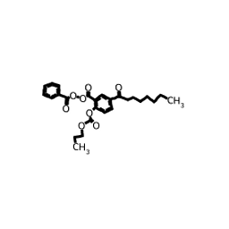 CCCCCCCC(=O)c1ccc(OC(=O)OCCC)c(C(=O)OOC(=O)c2ccccc2)c1